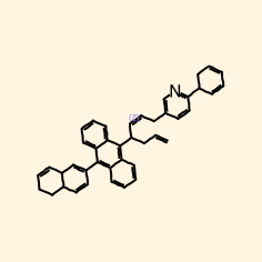 C=CCC(/C=C\Cc1ccc(C2C=CC=CC2)nc1)c1c2ccccc2c(C2=CC3C=CCCC3C=C2)c2ccccc12